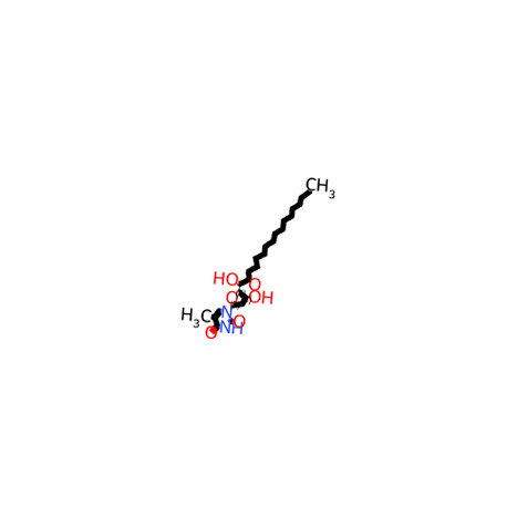 CCCCCCCCCCCCCCCC(=O)C(O)[C@H]1O[C@@H](n2cc(C)c(=O)[nH]c2=O)C[C@@H]1O